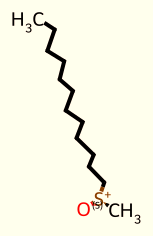 CCCCCCCCCCCC[S@@+](C)[O-]